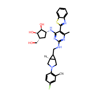 Cc1nc(NCC2C3CN(c4ccc(F)cc4C#N)C[C@@H]23)nc(N[C@@H]2C[C@H](CO)[C@@H](O)[C@H]2O)c1-c1nc2ccccc2s1